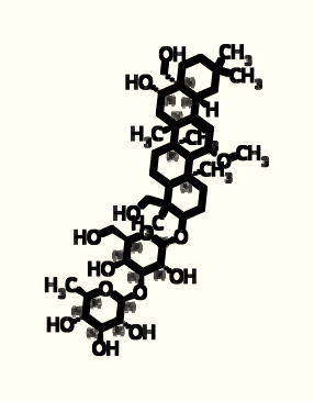 CO[C@H]1C=C2[C@H]3CC(C)(C)CC[C@]3(CO)[C@@H](O)C[C@@]2(C)[C@]2(C)CCC3C(C)(CO)C(O[C@@H]4O[C@H](CO)[C@H](O)[C@H](O[C@@H]5O[C@H](C)[C@@H](O)[C@H](O)[C@H]5O)[C@H]4O)CC[C@]3(C)C12